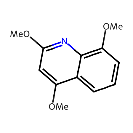 COc1cc(OC)c2cccc(OC)c2n1